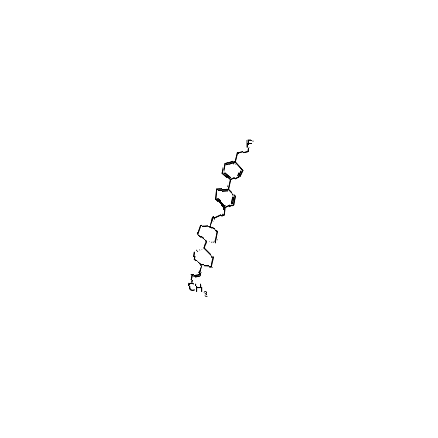 CC=C[C@H]1CC[C@H]([C@H]2CC[C@H](CCc3ccc(-c4ccc(CCF)cc4)cc3)CC2)CC1